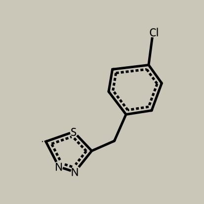 Clc1ccc(Cc2nn[c]s2)cc1